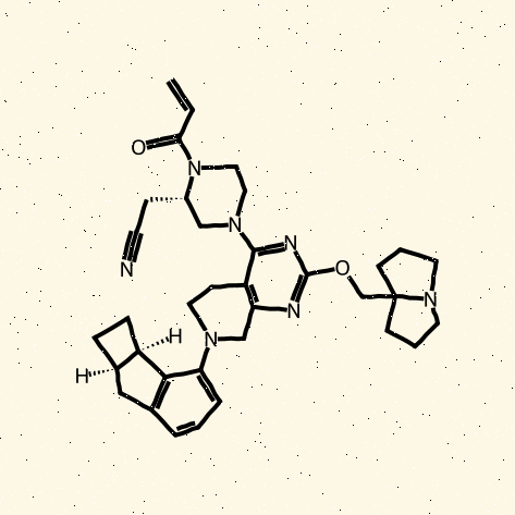 C=CC(=O)N1CCN(c2nc(OCC34CCCN3CCC4)nc3c2CCN(c2cccc4c2[C@@H]2CC[C@@H]2C4)C3)C[C@@H]1CC#N